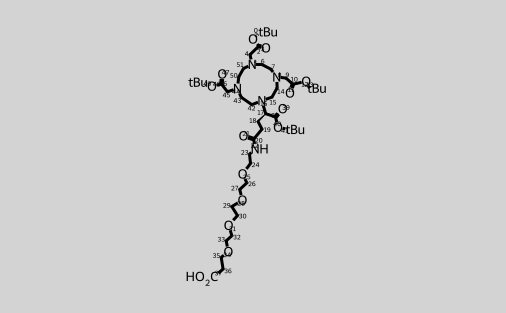 CC(C)(C)OC(=O)CN1CCN(CC(=O)OC(C)(C)C)CCN([C@H](CCC(=O)NCCOCCOCCOCCOCCC(=O)O)C(=O)OC(C)(C)C)CCN(CC(=O)OC(C)(C)C)CC1